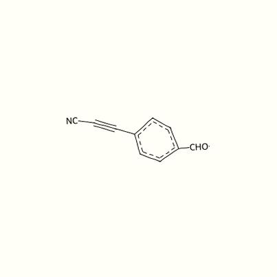 N#CC#Cc1ccc([C]=O)cc1